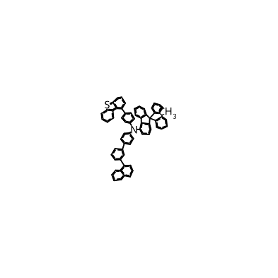 Cc1ccccc1C1(c2ccccc2)c2ccccc2-c2c(N(c3ccc(-c4cccc(-c5cccc6ccccc56)c4)cc3)c3ccc(-c4cccc5sc6ccccc6c45)cc3)cccc21